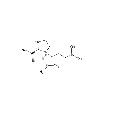 CN(C)C[C@@]1(CCCB(O)O)CCN[C@@H]1C(=O)O